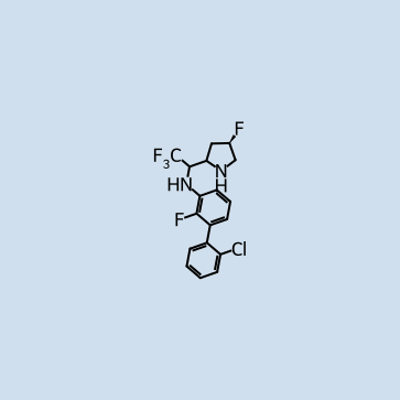 Fc1c(NC(C2C[C@@H](F)CN2)C(F)(F)F)cccc1-c1ccccc1Cl